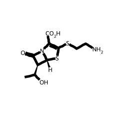 CC(O)[C@H]1C(=O)N2C(C(=O)O)=C(SCCN)S[C@H]12